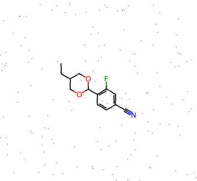 CCC1COC(c2ccc(C#N)cc2F)OC1